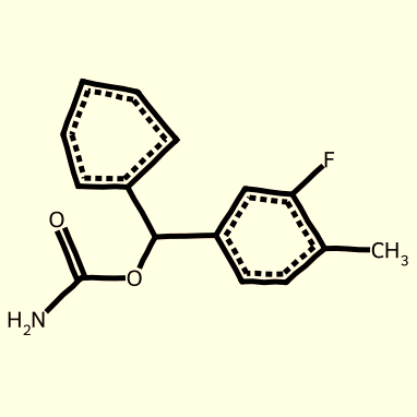 Cc1ccc(C(OC(N)=O)c2ccccc2)cc1F